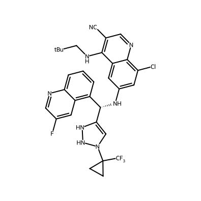 CC(C)(C)CNc1c(C#N)cnc2c(Cl)cc(N[C@H](C3=CN(C4(C(F)(F)F)CC4)NN3)c3cccc4ncc(F)cc34)cc12